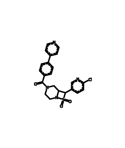 O=C(c1ccc(-c2ccncc2)cc1)N1CCN2C(C1)C(c1ccc(Cl)nc1)S2(=O)=O